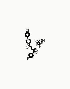 O=C(CCc1cnoc1-c1ccc(F)cc1)N1CCN(c2ccc(Cl)cc2)CC1.O=C(O)C(F)(F)F